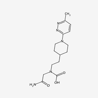 Cc1ccc(N2CCC(CCN(CC(N)=O)C(=O)O)CC2)nn1